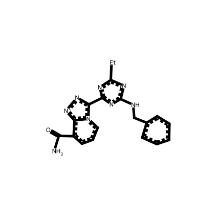 CCc1nc(NCc2ccccc2)nc(-c2nnc3c(C(N)=O)cccn23)n1